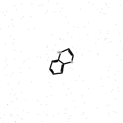 C1=COc2ccccc2N1